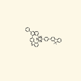 CC1(C)c2ccccc2-c2ccc(-c3ccc(-c4nc(-c5ccccc5)nc(-c5cccc6sc7ccc(-c8cccc(-c9ccccc9)c8)cc7c56)n4)cc3)cc21